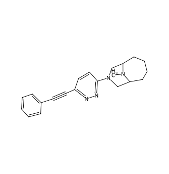 CN1C2CCCCC1CN(c1ccc(C#Cc3ccccc3)nn1)C2